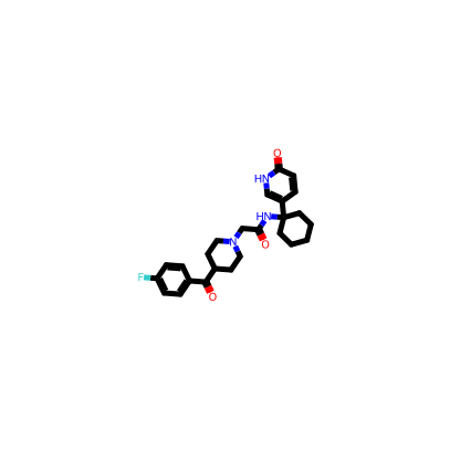 O=C(CN1CCC(C(=O)c2ccc(F)cc2)CC1)NC1(c2ccc(=O)[nH]c2)CCCCC1